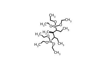 C=C(C(CC)[Si](OCC)(OCC)OCC)C(CC)[Si](OCC)(OCC)OCC